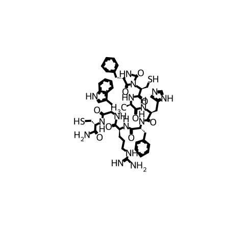 C[C@@H](NC(=O)[C@H](CS)N1C(=O)N[C@@H](Cc2ccccc2)C1=O)C(=O)N[C@@H](Cc1cnc[nH]1)C(=O)N[C@H](Cc1ccccc1)C(=O)N[C@@H](CCCNC(=N)N)C(=O)N[C@@H](Cc1c[nH]c2ccccc12)C(=O)N[C@@H](CS)C(N)=O